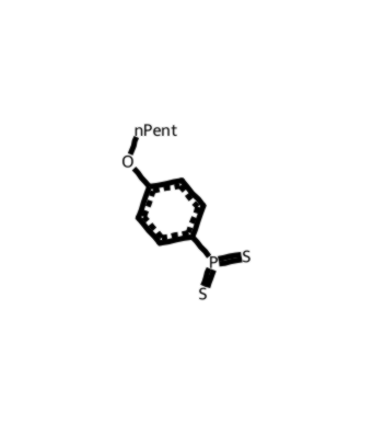 CCCCCOc1ccc(P(=S)=S)cc1